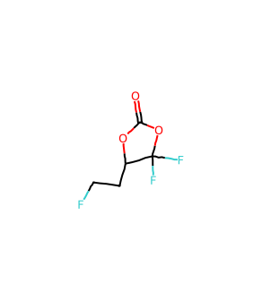 O=C1OC(CCF)C(F)(F)O1